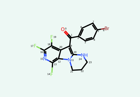 O=C(c1ccc(Br)cc1)c1c2n(c3c(F)nc(F)c(F)c13)CCCN2